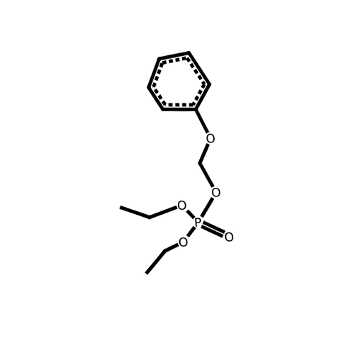 CCOP(=O)(OCC)OCOc1ccccc1